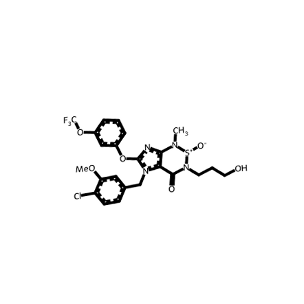 COc1cc(Cn2c(Oc3cccc(OC(F)(F)F)c3)nc3c2C(=O)N(CCCO)[S+]([O-])N3C)ccc1Cl